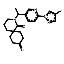 CC(c1ccc(-n2cc(F)cn2)nc1)N1CCCC2(CCC(=O)CC2)C1=O